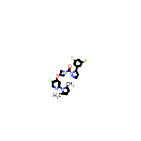 Cc1ccc(C)n1-c1cc(OC2CN(C(=O)N3N=CCC3c3cc(F)cc(F)c3)C2)c(F)cn1